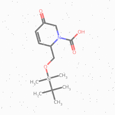 CC(C)(C)[Si](C)(C)OCC1C=CC(=O)CN1C(=O)O